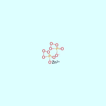 O=P1([O-])OOO1.O=P1([O-])OOO1.[Zn+2]